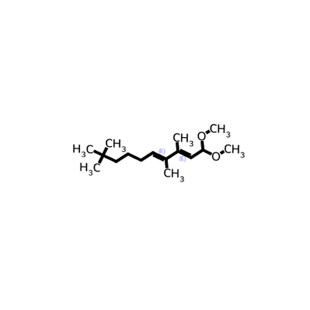 COC(/C=C(C)/C(C)=C/CCCC(C)(C)C)OC